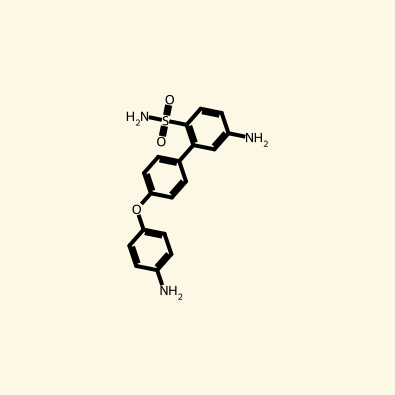 Nc1ccc(Oc2ccc(-c3cc(N)ccc3S(N)(=O)=O)cc2)cc1